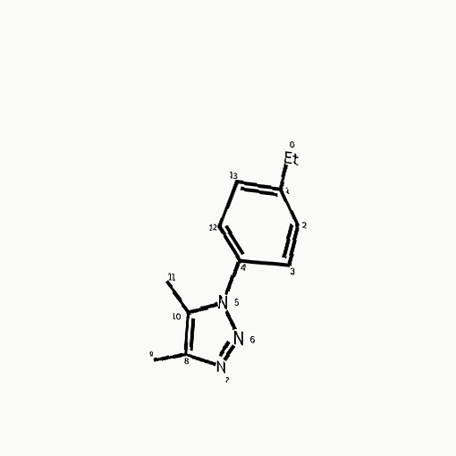 CCc1ccc(-n2nnc(C)c2C)cc1